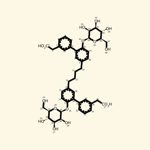 O=C(O)Cc1cccc(-c2cc(CCCCc3ccc(O[C@@H]4O[C@H](CO)[C@@H](O)[C@H](O)[C@@H]4O)c(-c4cccc(CC(=O)O)c4)c3)ccc2O[C@@H]2O[C@H](CO)[C@@H](O)[C@H](O)[C@@H]2O)c1